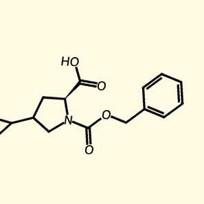 O=C(O)[C@@H]1CC(C2CC2)CN1C(=O)OCc1ccccc1